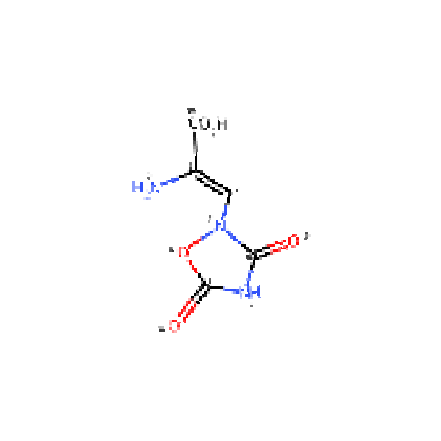 NC(=Cn1oc(=O)[nH]c1=O)C(=O)O